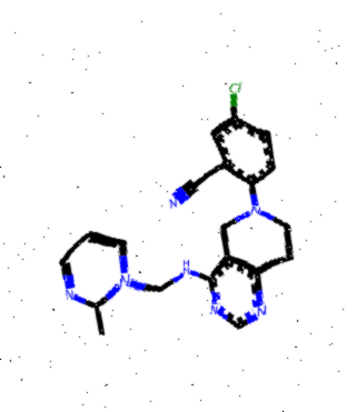 CC1N=CC=CN1CNc1ncnc2c1CN(c1ccc(Cl)cc1C#N)CC2